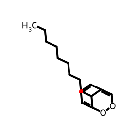 CCCCCCCCCC1C2=COOC1=CC=C2